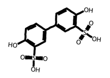 O=S(=O)(O)c1cc(-c2ccc(O)c(S(=O)(=O)O)c2)ccc1O